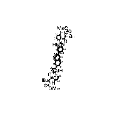 CC[C@@H](C)[C@H](NC(=O)OC)C(=O)N1CCC[C@H]1c1ncc(-c2ccc3cc(-c4ccc5nc([C@@H]6CCCN6C(=O)[C@@H](NC(=O)OC)[C@H](C)CC)[nH]c5c4)nnc3c2)[nH]1